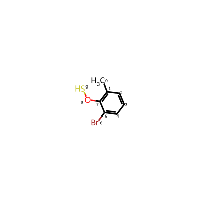 Cc1cccc(Br)c1OS